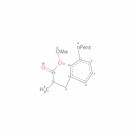 CCCCCc1cccc(CC(C)C(=O)OOC)c1